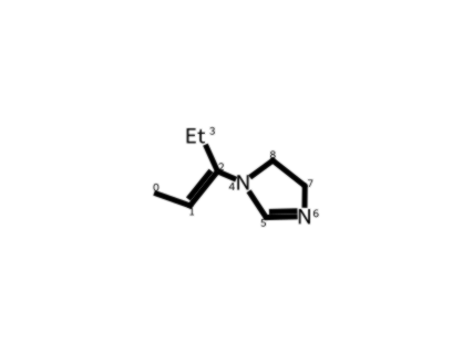 CC=C(CC)N1C=NCC1